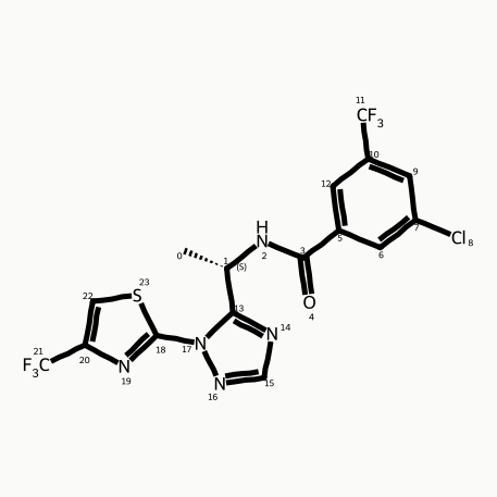 C[C@H](NC(=O)c1cc(Cl)cc(C(F)(F)F)c1)c1ncnn1-c1nc(C(F)(F)F)cs1